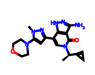 C[C@H](C1=CC1)n1cc(-c2cc(N3CCOCC3)n(C)n2)c2[nH]nc(N)c2c1=O